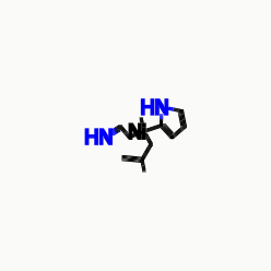 C=C(C)[CH2][Ni]([CH3])([CH2]C=N)[c]1ccc[nH]1